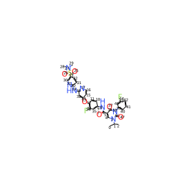 CC(C)n1cc(C(=O)Nc2ccc(Oc3ccnc(Nc4ccc(S(=O)(=O)N(C)C)cn4)c3)c(F)c2)c(=O)n(-c2cccc(F)c2)c1=O